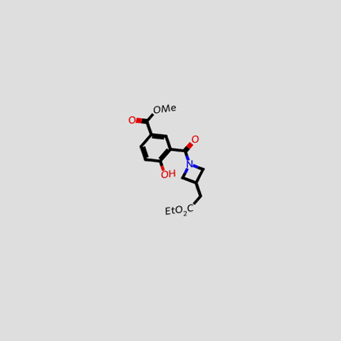 CCOC(=O)CC1CN(C(=O)c2cc(C(=O)OC)ccc2O)C1